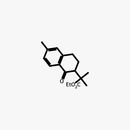 CCOC(=O)C(C)(C)C1CCc2cc(C)ccc2C1=O